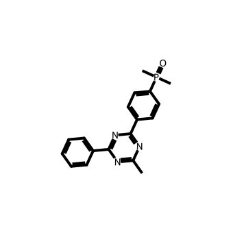 Cc1nc(-c2ccccc2)nc(-c2ccc(P(C)(C)=O)cc2)n1